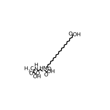 C[C@H](NC(=O)CC[C@H](NC(=O)CCCCCCCCCCCCCCCCCCC(=O)O)C(=O)O)C(=O)CO